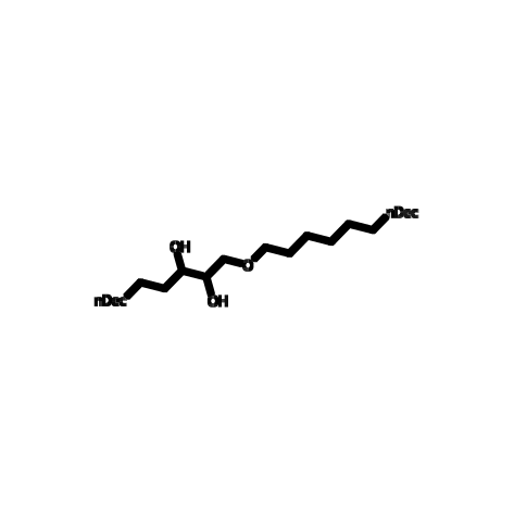 CCCCCCCCCCCCCCCCOCC(O)C(O)CCCCCCCCCCCC